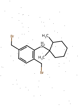 CC1CCCCC1(C)[SiH2]c1cc(CBr)ccc1CBr